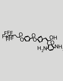 Nc1ccc(N)c(C/C(=C\c2ccc(OC(=O)c3ccc(OC(=O)CCC(F)(F)C(F)(F)C(F)(F)F)cc3)cc2)C(=O)O)c1